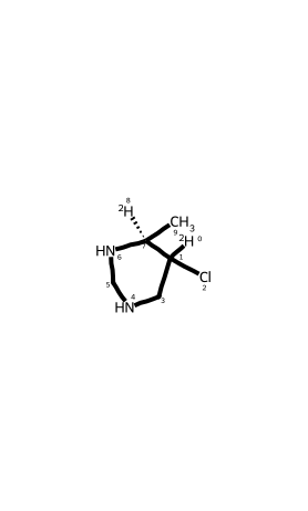 [2H]C1(Cl)CNCN[C@@]1([2H])C